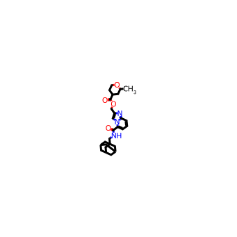 CC1CC(C(=O)OCc2cn3c(C(=O)NCC45CC6CC(CC(C6)C4)C5)cccc3n2)CCO1